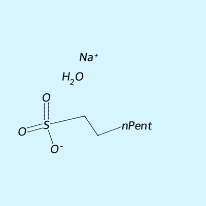 CCCCCCCS(=O)(=O)[O-].O.[Na+]